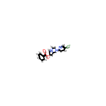 O=C(OC1CC2CN(c3ccc(Cl)cn3)CCN2C1)c1ccccc1